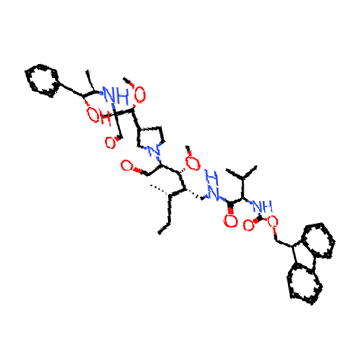 CC[C@H](C)[C@@H](CNC(=O)C(NC(=O)OCC1c2ccccc2-c2ccccc21)C(C)C)[C@@H](OC)[C@@H](C=O)N1CC[C@H]([C@@H](OC)[C@](C)(C=O)N[C@H](C)[C@@H](O)c2ccccc2)C1